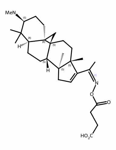 CN[C@H]1CC[C@]23C[C@]24CC[C@]2(C)C(/C(C)=N\OC(=O)CCC(=O)O)=CC[C@@]2(C)[C@@H]4CC[C@H]3C1(C)C